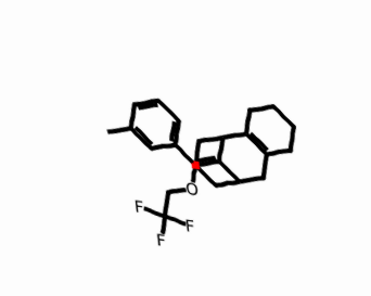 Cc1cccc(/C(OCC(F)(F)F)=C2/C3CCCC2C2=C(CCCC2)C3)c1